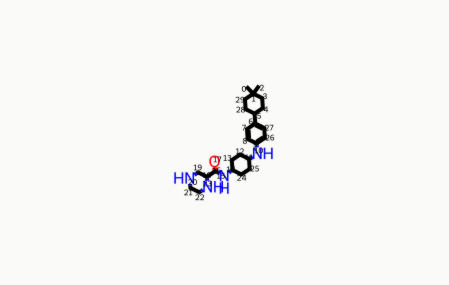 CC1(C)CCC(c2ccc(NC3CCC(NC(=O)C4CNCCN4)CC3)cc2)CC1